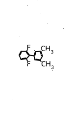 Cc1cc(C)cc(-c2c(F)cccc2F)c1